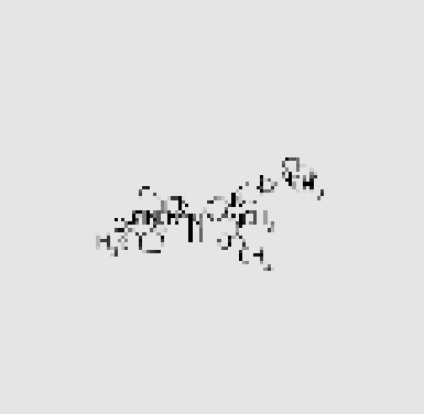 C=CC(=O)N(C)c1cc(Nc2ncc(Cl)c(Nc3ccccc3P(C)(C)=O)n2)ccc1N1CCC2(CC1)CC(N(C)C)C2